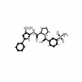 CCOC(=O)c1cc(-c2ccccc2)sc1NC(=O)C1CCCN1C(=O)c1cccc(S(N)(=O)=O)c1